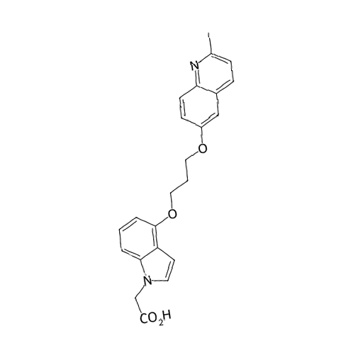 Cc1ccc2cc(OCCCOc3cccc4c3ccn4CC(=O)O)ccc2n1